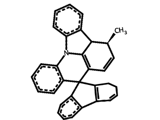 C[C@H]1C=CC2=C3C1c1ccccc1N3c1ccccc1C21C2=C(C=CCC2)c2ccccc21